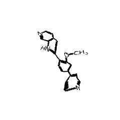 COc1cc(-c2ccncc2)ccc1-c1cc2ccncc2[nH]1